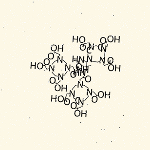 CC(=O)NC(N1CCN(CC(=O)O)CCN(CC(=O)O)CCN(CC(=O)O)CC1)C(C)(CNC(=O)CN1CCN(CC(=O)O)CCN(CC(=O)O)CCN(CC(=O)O)CC1)CNC(=O)CN1CCN(CC(=O)O)CCN(CC(=O)O)CCN(CC(=O)O)CC1